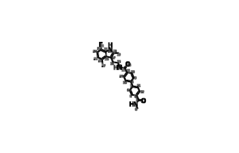 CNC(=O)c1ccc(-c2ccc(C(=O)NCCc3c(C)[nH]c4c(F)ccc(C)c34)cc2)cc1